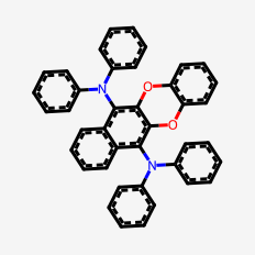 c1ccc(N(c2ccccc2)c2c3c(c(N(c4ccccc4)c4ccccc4)c4ccccc24)Oc2ccccc2O3)cc1